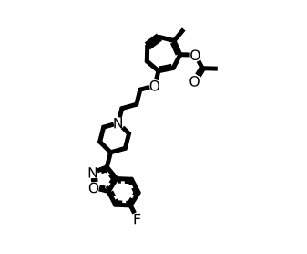 CC(=O)OC1=C(C)C#CCC(OCCCN2CCC(c3noc4cc(F)ccc34)CC2)=C1